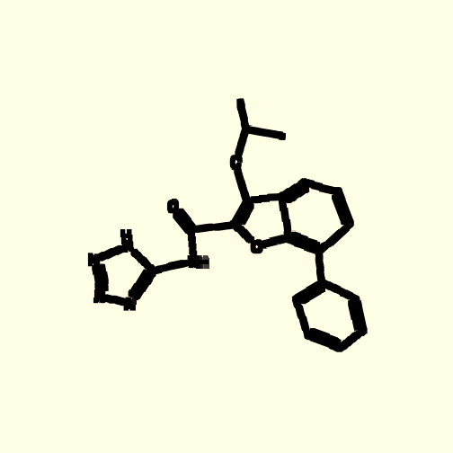 CC(C)Oc1c(C(=O)Nc2nnn[nH]2)oc2c(-c3ccccc3)cccc12